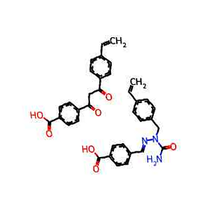 C=Cc1ccc(C(=O)CC(=O)c2ccc(C(=O)O)cc2)cc1.C=Cc1ccc(CN(N=Cc2ccc(C(=O)O)cc2)C(N)=O)cc1